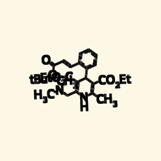 CCOC(=O)C1=C(C)NC(CN(C)C)=C(C(=O)OCC)C1c1ccccc1C=CC(=O)OC(C)(C)C